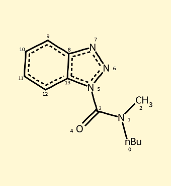 CCCCN(C)C(=O)n1nnc2ccccc21